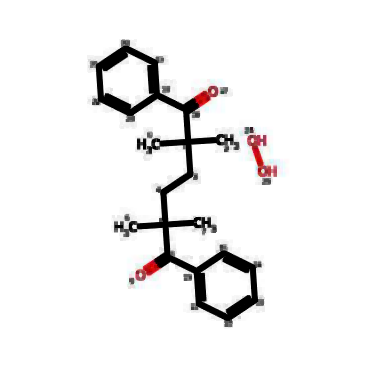 CC(C)(CCC(C)(C)C(=O)c1ccccc1)C(=O)c1ccccc1.OO